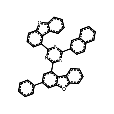 c1ccc(-c2cc(-c3nc(-c4ccc5ccccc5c4)nc(-c4cccc5oc6ccccc6c45)n3)c3c(c2)oc2ccccc23)cc1